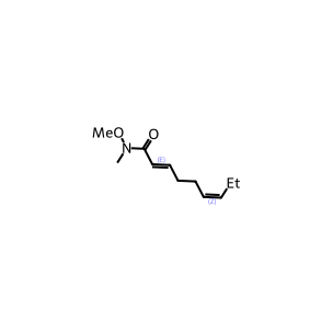 CC/C=C\CC/C=C/C(=O)N(C)OC